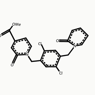 COC(=O)c1ccn(Cc2cc(Cl)c(Cn3ccccc3=O)cc2Cl)c(=O)c1